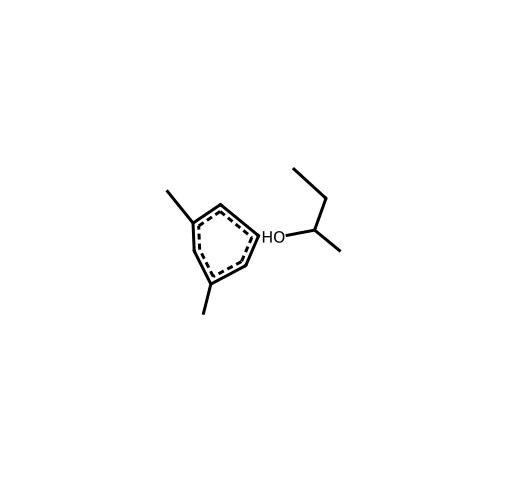 CCC(C)O.Cc1cccc(C)c1